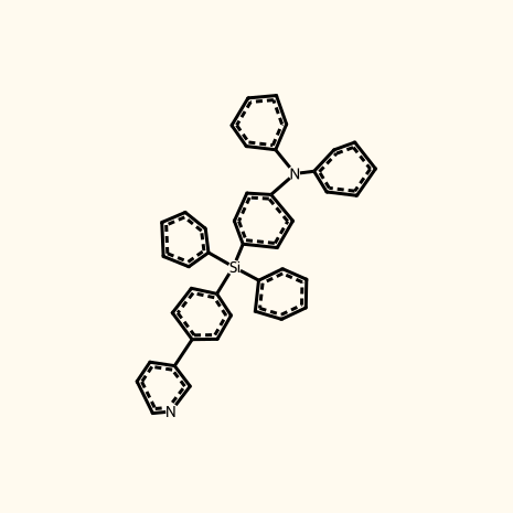 c1ccc(N(c2ccccc2)c2ccc([Si](c3ccccc3)(c3ccccc3)c3ccc(-c4cccnc4)cc3)cc2)cc1